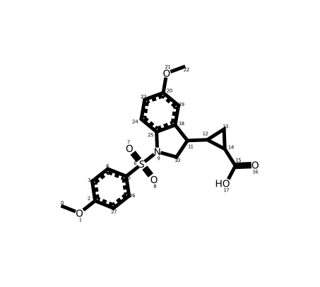 COc1ccc(S(=O)(=O)N2CC(C3CC3C(=O)O)c3cc(OC)ccc32)cc1